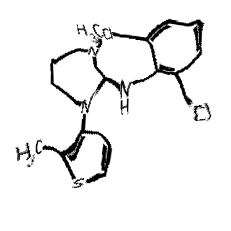 Cc1sccc1N1CCN(C)C1Nc1c(Cl)cccc1Cl